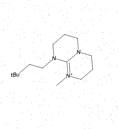 C[N+]1=C2N(CCCN2CCC(C)(C)C)CCC1